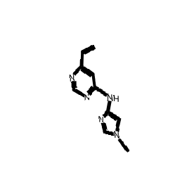 C=Cc1cc(Nc2cn(C)cn2)ncn1